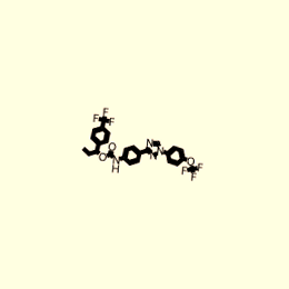 CCC(OC(=O)Nc1ccc(-c2ncn(-c3ccc(OC(F)(F)F)cc3)n2)cc1)c1ccc(C(F)(F)F)cc1